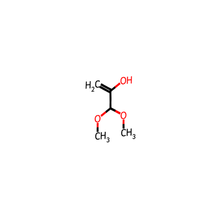 C=C(O)C(OC)OC